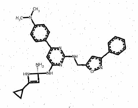 CN(C)c1ccc(-c2cc(N[C@@]3(N)C=C(C4CC4)N3)nc(NCc3cc(-c4ccccc4)no3)n2)cc1